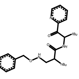 CCCCC(CNOCc1ccccc1)C(=O)NC(C(=O)c1ccccn1)C(C)(C)C